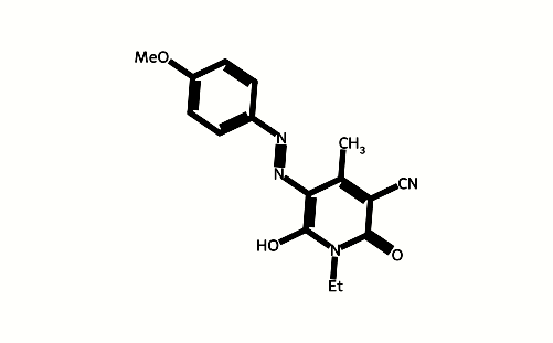 CCn1c(O)c(N=Nc2ccc(OC)cc2)c(C)c(C#N)c1=O